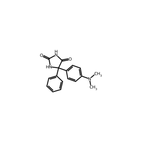 CN(C)c1ccc(C2(c3ccccc3)NC(=O)NC2=O)cc1